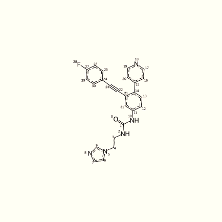 O=C(NCCn1ccnc1)Nc1ccc(-c2ccncc2)c(C#Cc2ccc(F)cc2)c1